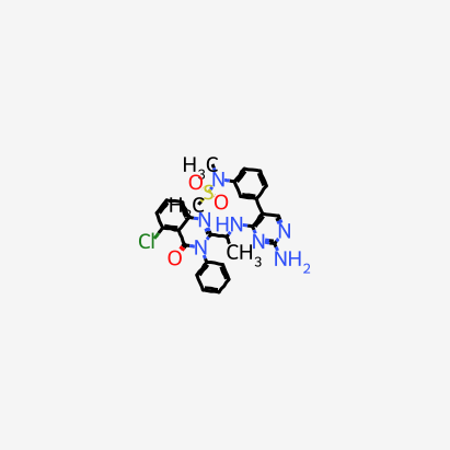 CC(Nc1nc(N)ncc1-c1cccc(N(C)S(C)(=O)=O)c1)c1nc2cccc(Cl)c2c(=O)n1-c1ccccc1